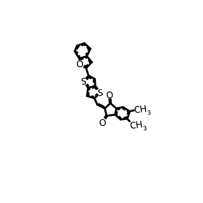 Cc1cc2c(cc1C)C(=O)C(=Cc1cc3sc(-c4cc5ccccc5o4)cc3s1)C2=O